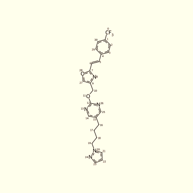 FC(F)(F)c1ccc(C=Cc2nc(COc3ncc(CCCCn4cccn4)cn3)co2)cc1